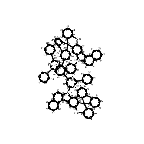 c1ccc(-c2cc(-c3cccc(-n4c5cc6c(cc5c5c7ccccc7ccc54)Sc4ccccc4C64c5ccccc5-c5cc(-c6cccc(-c7cc(-n8c9cc%10c(cc9c9c%11ccccc%11ccc98)Sc8ccccc8C%108c9ccccc9-c9ccccc98)nc(-c8ccccc8)n7)c6)ccc54)c3)nc(-c3ccccc3)n2)cc1